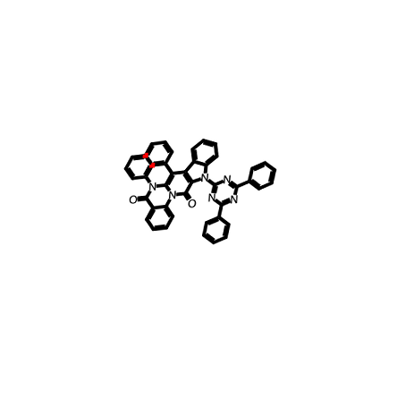 O=c1c2ccccc2n2c(=O)c3c(c(-c4ccccc4)c2n1-c1ccccc1)c1ccccc1n3-c1nc(-c2ccccc2)nc(-c2ccccc2)n1